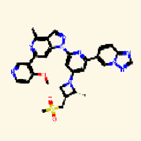 COc1ccncc1-c1cc2c(cnn2-c2cc(N3C[C@H](CS(C)(=O)=O)[C@H]3C)cc(-c3ccc4ncnn4c3)n2)c(C)n1